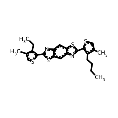 CCCCc1c(C)csc1-c1nc2cc3sc(-c4scc(C)c4CC)nc3cc2s1